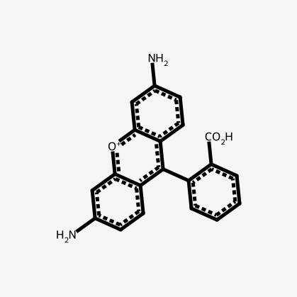 Nc1ccc2c(-c3ccccc3C(=O)O)c3ccc(N)cc3[o+]c2c1